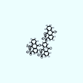 O=C1c2ccccc2C(=O)c2c1cccc2S(=O)(=O)[O-].O=C1c2ccccc2C(=O)c2c1cccc2S(=O)(=O)[O-].O=C1c2ccccc2C(=O)c2c1cccc2S(=O)(=O)[O-].[Fe+3]